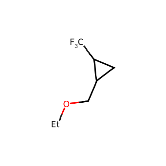 CCOCC1CC1C(F)(F)F